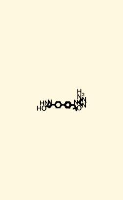 CC1(C)Oc2ncnc(N)c2N=C1c1ccc(C2CCC(c3cc(O)[nH]n3)CC2)cc1